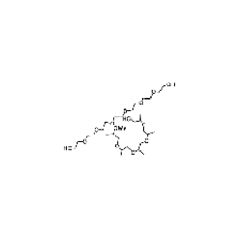 COC(C)COC(C)COC(C)COC(C)COC(C)CO.OCCOCCOCCOCCOCCOCCOCCO